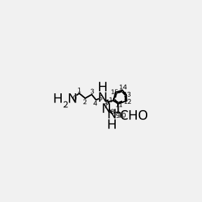 NCCCCNC1=NNC(C=O)c2ccccc21